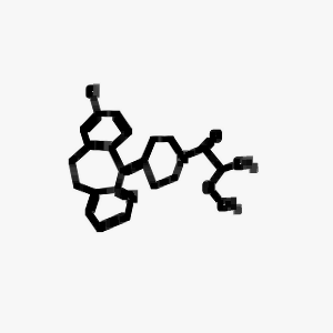 COC(C)C(=O)N1CCC(=C2c3ccc(Cl)cc3CCc3cccnc32)CC1